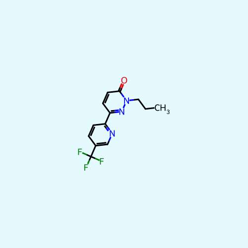 CCCn1nc(-c2ccc(C(F)(F)F)cn2)ccc1=O